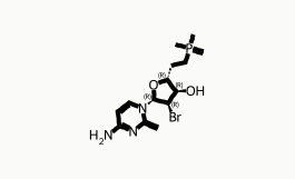 C=C1N=C(N)C=CN1[C@@H]1O[C@H](CCP(=C)(C)C)[C@@H](O)[C@H]1Br